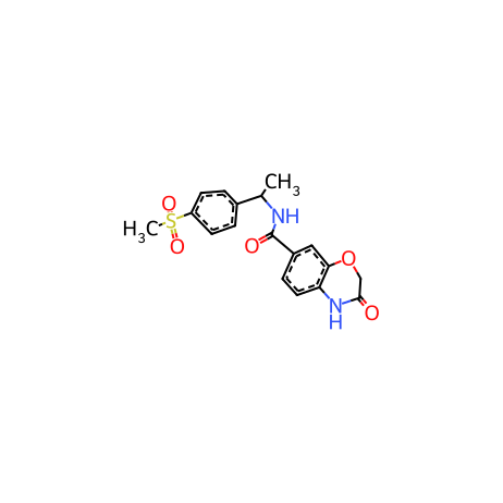 CC(NC(=O)c1ccc2c(c1)OCC(=O)N2)c1ccc(S(C)(=O)=O)cc1